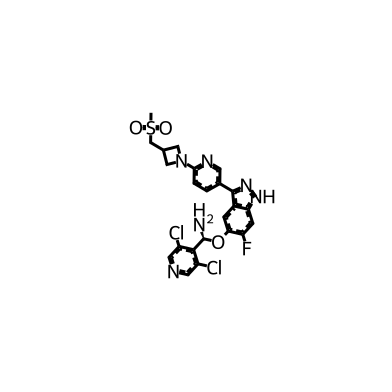 CS(=O)(=O)CC1CN(c2ccc(-c3n[nH]c4cc(F)c(O[C@H](N)c5c(Cl)cncc5Cl)cc34)cn2)C1